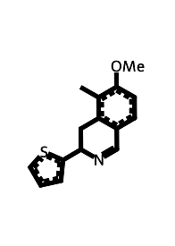 COc1ccc2c(c1C)CC(c1cccs1)N=C2